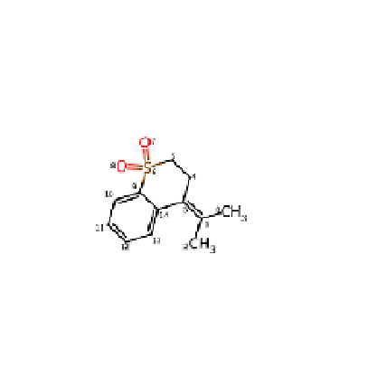 CC(C)=C1CCS(=O)(=O)c2ccccc21